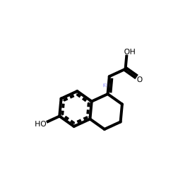 O=C(O)/C=C1\CCCc2cc(O)ccc21